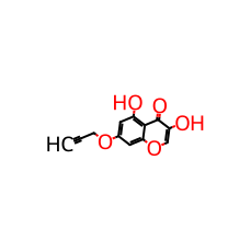 C#CCOc1cc(O)c2c(=O)c(O)coc2c1